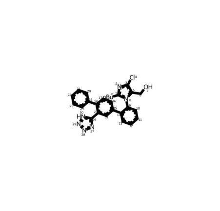 CCCCc1nc(Cl)c(CO)n1-c1ccccc1-c1ccc(-c2ccccc2)c(-c2nnn[nH]2)c1